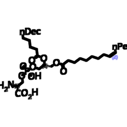 CCCCC/C=C\CCCCCCCC(=O)OC[C@H](COP(=O)(O)OC[C@H](N)C(=O)O)OC(=O)CCCCCCCCCCCCCC